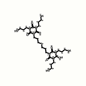 O=C1N(CCCSCCCn2c(=O)n(CCCS)c(=O)n(CCCS)c2=O)C(=O)N(CCCS)C(O)N1CCCS